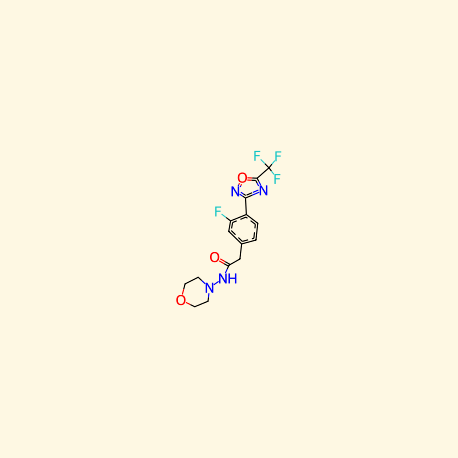 O=C(Cc1ccc(-c2noc(C(F)(F)F)n2)c(F)c1)NN1CCOCC1